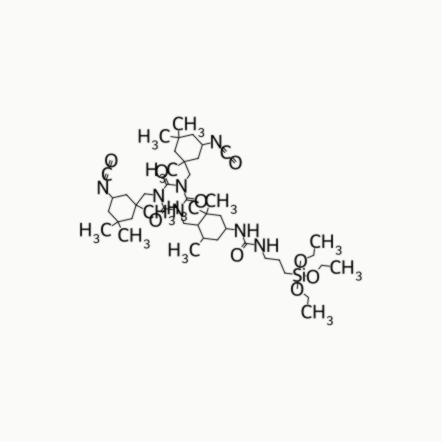 CCO[Si](CCCNC(=O)NC1CC(C)C(Cn2c(=O)n(CC3(C)CC(N=C=O)CC(C)(C)C3)c(=O)n(CC3(C)CC(N=C=O)CC(C)(C)C3)c2=O)C(C)(C)C1)(OCC)OCC